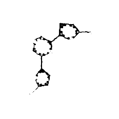 Brc1ccc(-c2cncc(-c3ccc(Br)s3)n2)s1